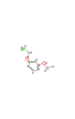 CC(C)Oc1cccc(OCBr)c1